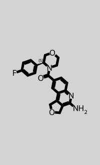 Nc1nc2ccc(C(=O)N3CCOC[C@@H]3c3ccc(F)cc3)cc2c2c1COC2